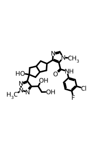 Cn1nc(C(O)CO)c(C2(O)CC3CC(c4ncn(C)c4C(=O)Nc4ccc(F)c(Cl)c4)CC3C2)n1